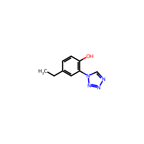 CCc1ccc(O)c(-n2cnnn2)c1